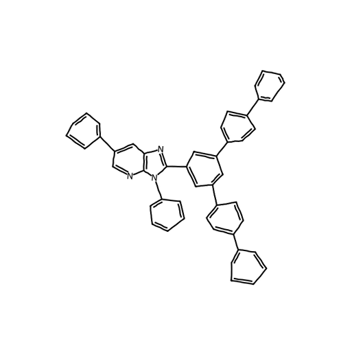 c1ccc(-c2ccc(-c3cc(-c4ccc(-c5ccccc5)cc4)cc(-c4nc5cc(-c6ccccc6)cnc5n4-c4ccccc4)c3)cc2)cc1